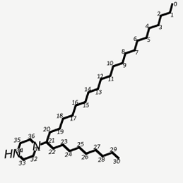 CCCCCCCCCCCCCCCCCCCCCC(CCCCCCCCC)N1CCNCC1